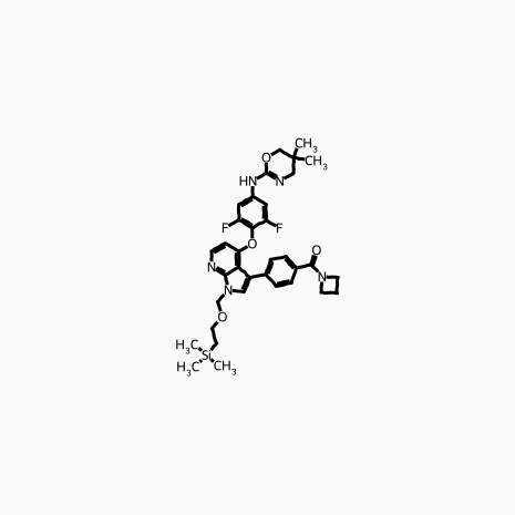 CC1(C)CN=C(Nc2cc(F)c(Oc3ccnc4c3c(-c3ccc(C(=O)N5CCC5)cc3)cn4COCC[Si](C)(C)C)c(F)c2)OC1